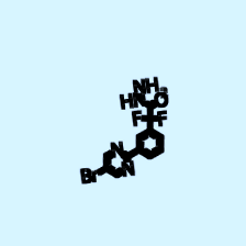 NNC(=O)C(F)(F)c1cccc(-c2ncc(Br)cn2)c1